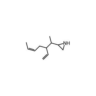 C=CC(C/C=C\C)C(C)C1CN1